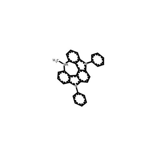 C[SiH]1c2cccc3c2c2c4c5c1cccc5n(-c1ccccc1)c4ccc2n3-c1ccccc1